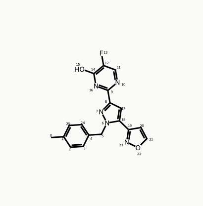 Cc1ccc(Cn2nc(-c3ncc(F)c(O)n3)cc2-c2ccon2)cc1